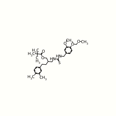 COCOc1ccc(CNC(=S)NCC(CCc2ccc(C)c(C)c2)COC(=O)C(C)(C)C)cc1OC